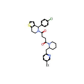 CCc1ccc(CC2CCCCN2C(=O)CCC(=O)N2CCc3sccc3C2c2ccc(Cl)cc2)nc1